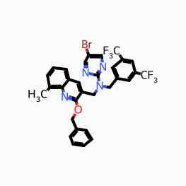 Cc1cccc2cc(CN(Cc3cc(C(F)(F)F)cc(C(F)(F)F)c3)c3ncc(Br)cn3)c(OCc3ccccc3)nc12